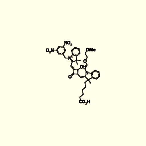 COCCOCCN1C(=CC2=C(O)C(=CC3=[N+](Cc4cc([N+](=O)[O-])cc([N+](=O)[O-])c4)c4ccccc4C3(C)C)C2=O)C(C)(CCCCCC(=O)O)c2ccccc21